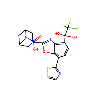 O=C(O)N1C2CC1CN(c1nc3c(C(O)(O)C(F)(F)F)ccc(-c4nccs4)c3o1)C2